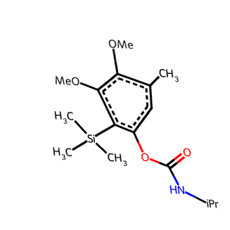 COc1c(C)cc(OC(=O)NC(C)C)c([Si](C)(C)C)c1OC